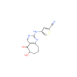 N#Cc1cc(Nc2ncc3c(n2)CCCC(O)C3=O)cs1